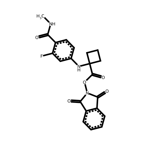 CNC(=O)c1ccc(NC2(C(=O)ON3C(=O)c4ccccc4C3=O)CCC2)cc1F